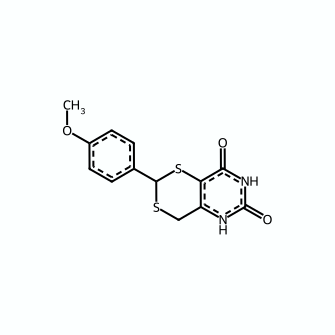 COc1ccc(C2SCc3[nH]c(=O)[nH]c(=O)c3S2)cc1